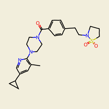 Cc1cc(C2CC2)cnc1N1CCN(C(=O)c2ccc(CCN3CCCS3(=O)=O)cc2)CC1